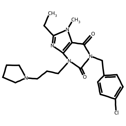 CCc1nc2c(c(=O)n(Cc3ccc(Cl)cc3)c(=O)n2CCCN2CCCC2)n1C